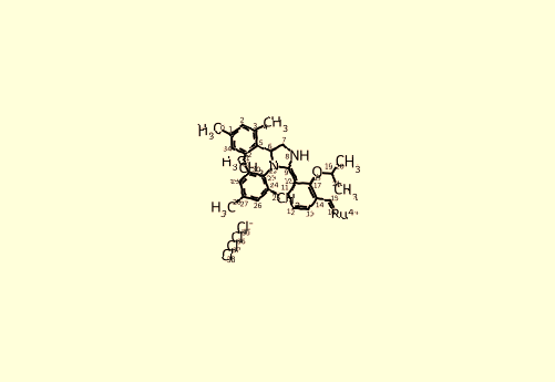 Cc1cc(C)c(C2CNC(=C3CC=CC([CH]=[Ru+4])=C3OC(C)C)N2c2c(C)cc(C)cc2C)c(C)c1.[Cl-].[Cl-].[Cl-].[Cl-]